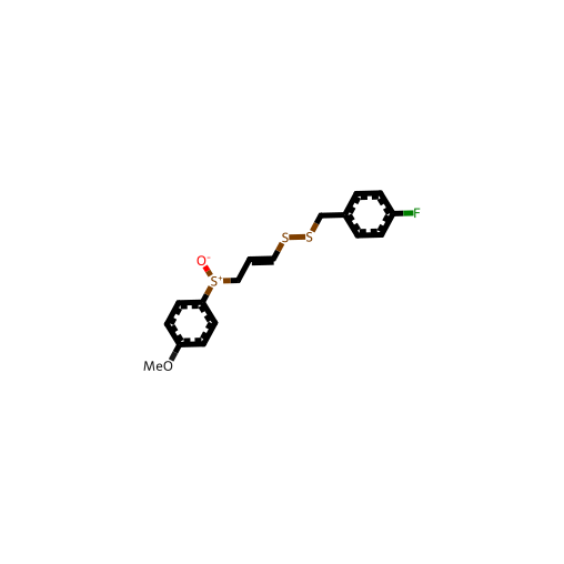 COc1ccc([S+]([O-])CC=CSSCc2ccc(F)cc2)cc1